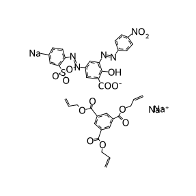 C=CCOC(=O)c1cc(C(=O)OCC=C)cc(C(=O)OCC=C)c1.O=C([O-])c1cc(N=Nc2cc[c]([Na])cc2S(=O)(=O)[O-])cc(N=Nc2ccc([N+](=O)[O-])cc2)c1O.[Na+].[Na+]